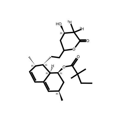 [2H]C1([2H])C(=O)OC(CC[C@@H]2[C@@H]3C(=C[C@H](C)C[C@@H]3OC(=O)C(C)(C)CC)C=C[C@@H]2C)C[C@H]1O